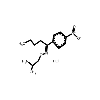 CCCCC(=NOCC(C)N)c1ccc([N+](=O)[O-])cc1.Cl